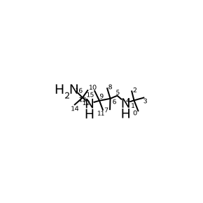 CC(C)(C)NCC(C)(C)C(C)(C)NC(C)(C)N